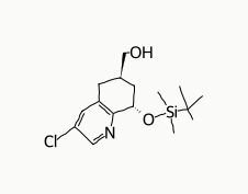 CC(C)(C)[Si](C)(C)O[C@H]1C[C@H](CO)Cc2cc(Cl)cnc21